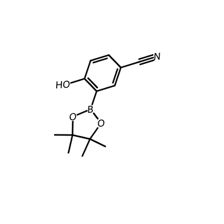 CC1(C)OB(c2cc(C#N)ccc2O)OC1(C)C